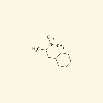 [CH2]C(CC1CCCCC1)N(C)C